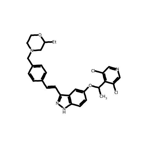 CCC1CN(Cc2ccc(/C=C/c3n[nH]c4ccc(OC(C)c5c(Cl)cncc5Cl)cc34)cc2)CCO1